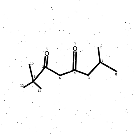 CC(C)CC(=O)CC(=O)C(C)(C)C